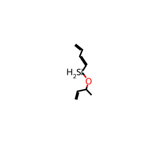 C=CC=C[SiH2]OC(C)C=C